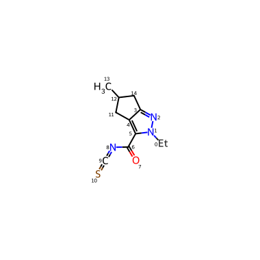 CCn1nc2c(c1C(=O)N=C=S)CC(C)C2